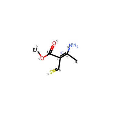 CCOC(=O)/C(C=S)=C(/C)N